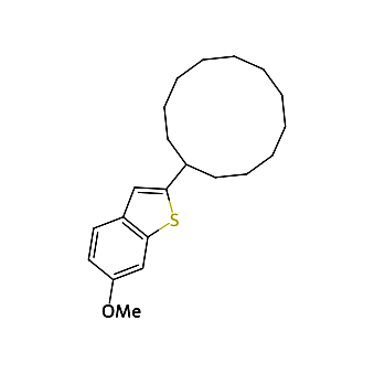 COc1ccc2cc(C3CCCCCCCCCCC3)sc2c1